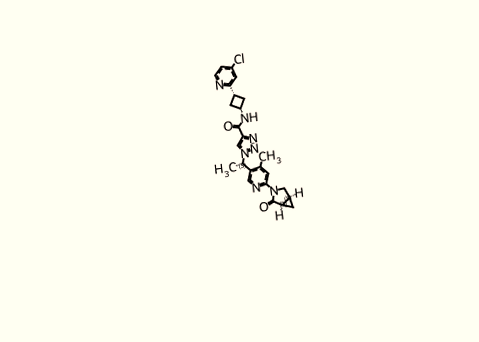 Cc1cc(N2C[C@H]3C[C@H]3C2=O)ncc1[C@H](C)n1cc(C(=O)N[C@H]2C[C@@H](c3cc(Cl)ccn3)C2)nn1